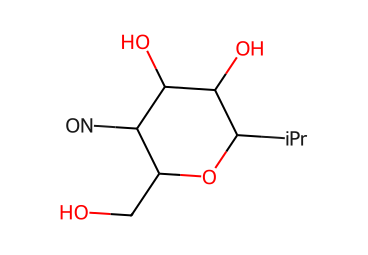 CC(C)C1OC(CO)C(N=O)C(O)C1O